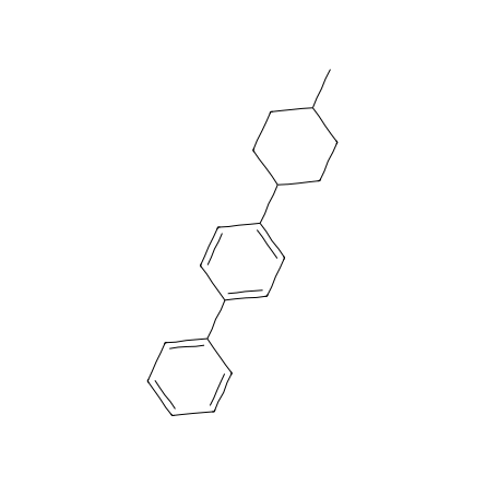 CC1CCC(c2ccc(-c3ccccc3)cc2)CC1